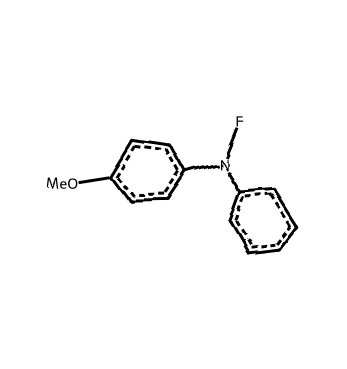 COc1ccc(N(F)c2ccccc2)cc1